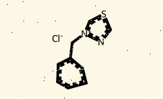 [Cl-].c1ccc(C[n+]2cscn2)cc1